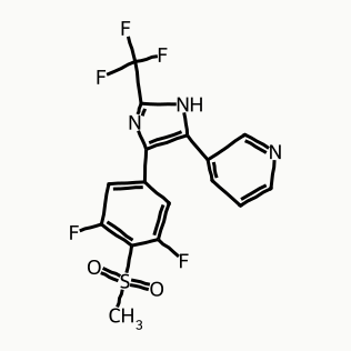 CS(=O)(=O)c1c(F)cc(-c2nc(C(F)(F)F)[nH]c2-c2cccnc2)cc1F